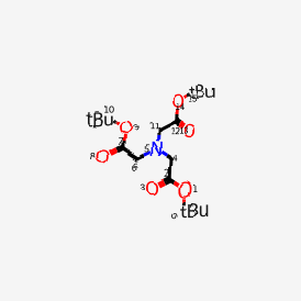 CC(C)(C)OC(=O)CN(CC(=O)OC(C)(C)C)CC(=O)OC(C)(C)C